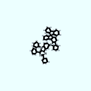 c1ccc(-c2nc(-c3ccccc3)c3c(n2)c2cc(-n4c5ccccc5c5ccc6c(c54)-c4ccccc4C64c5ccccc5-c5ccccc54)ccc2n3-c2ccccc2)cc1